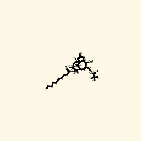 CCCCCCCCCC(=O)O[C@]1(C)C[C@@H](C)C23C=C(C)CC2C(O)C(COC(=O)C(C)(C)C)=CC(C3=O)C1(C)C